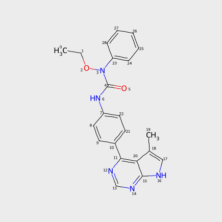 CCON(C(=O)Nc1ccc(-c2ncnc3[nH]cc(C)c23)cc1)c1ccccc1